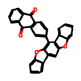 O=C1c2ccccc2C(=O)c2cc(-c3c4oc5ccccc5c4cc4oc5ccccc5c34)ccc21